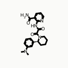 CN(C)c1cccc([C@@H]2CCCCN2C(=O)C(=O)Nc2ncccc2C(N)=O)c1